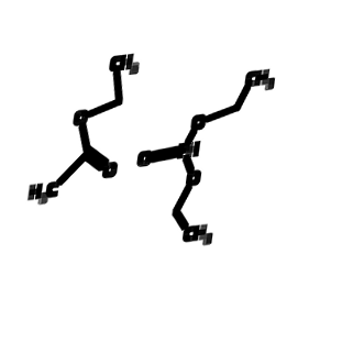 CCOC(C)=O.CCO[PH](=O)OCC